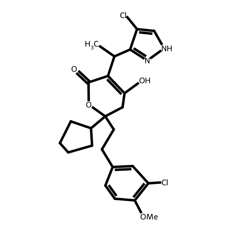 COc1ccc(CCC2(C3CCCC3)CC(O)=C(C(C)c3n[nH]cc3Cl)C(=O)O2)cc1Cl